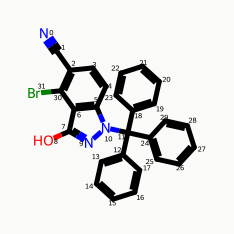 N#Cc1ccc2c(c(O)nn2C(c2ccccc2)(c2ccccc2)c2ccccc2)c1Br